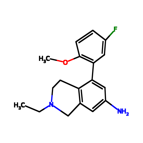 CCN1CCc2c(cc(N)cc2-c2cc(F)ccc2OC)C1